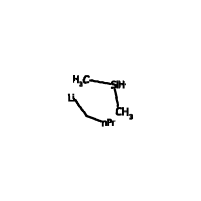 C[SiH]C.[Li][CH2]CCC